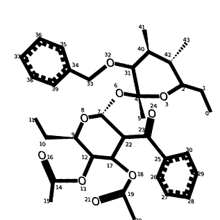 CCC1O[C@](C)(O[C@H]2O[C@H](CC)C(OC(C)=O)C(OC(C)=O)C2C(=O)c2ccccc2)C(OCc2ccccc2)[C@@H](C)[C@@H]1C